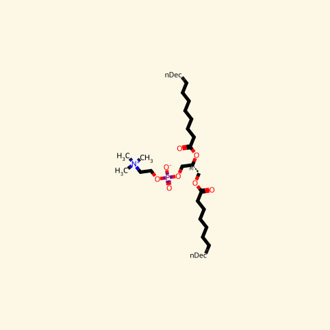 CCCCCCCCCCCCCCCCCC(=O)O[C@H](COC(=O)CCCCCCCCCCCCCCCC)COP(=O)([O-])OCC[N+](C)(C)C